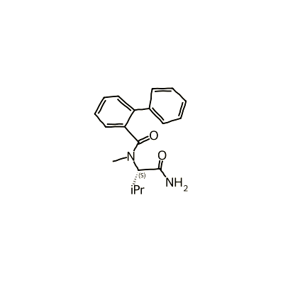 CC(C)[C@@H](C(N)=O)N(C)C(=O)c1ccccc1-c1ccccc1